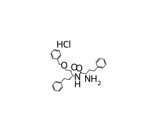 Cl.N[C@@H](CCc1ccccc1)C(=O)N[C@@H](CCc1ccccc1)C(=O)COCc1ccccc1